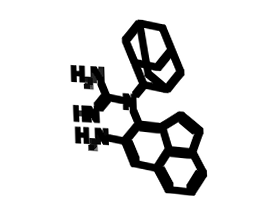 N=C(N)N(c1c(N)cc2cccc3c2c1C=C3)C1C2CC3CC(C2)CC1C3